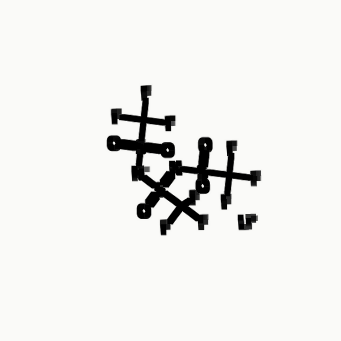 O=S(=O)(N=S(=O)([N-]S(=O)(=O)C(F)(F)F)C(F)(F)F)C(F)(F)F.[Li+]